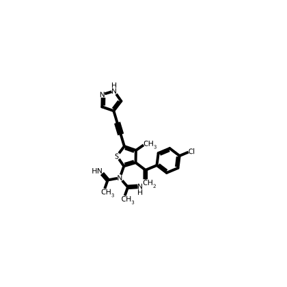 C=C(c1ccc(Cl)cc1)c1c(N(C(C)=N)C(C)=N)sc(C#Cc2cn[nH]c2)c1C